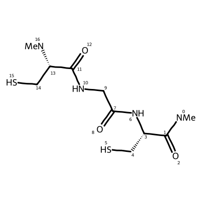 CNC(=O)[C@H](CS)NC(=O)CNC(=O)[C@H](CS)NC